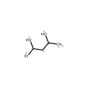 CCC(O)CC(C)O